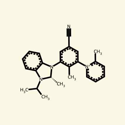 Cc1c(N2c3ccccc3N(C(C)C)[C@H]2C)cc(C#N)cc1-[n+]1ccccc1C